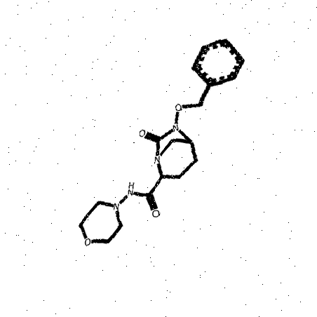 O=C(NN1CCOCC1)C1CCC2CN1C(=O)N2OCc1ccccc1